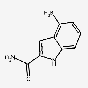 Bc1cccc2[nH]c(C(N)=O)cc12